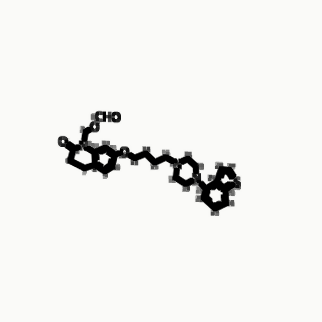 O=COCN1C(=O)CCc2ccc(OCCCCN3CCN(c4cccc5sccc45)CC3)cc21